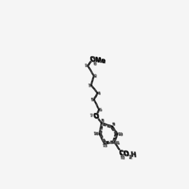 COCCCCCCOc1ccc(C(=O)O)cc1